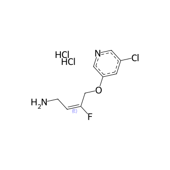 Cl.Cl.NC/C=C(/F)COc1cncc(Cl)c1